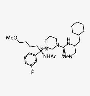 CNCC(CC1CCCCC1)NC(=O)N1CCC[C@@H]([C@](CCCCOC)(NC(C)=O)c2cccc(F)c2)C1